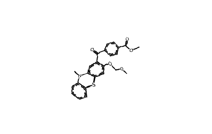 COCOc1cc2c(cc1C(=O)c1ccc(C(=O)OC)cc1)N(C)c1ccccc1S2